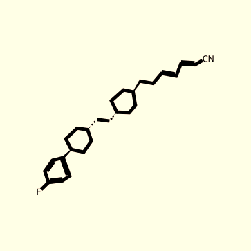 N#C/C=C/C=C/CC[C@H]1CC[C@H](CC[C@H]2CC[C@H](c3ccc(F)cc3)CC2)CC1